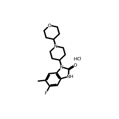 Cc1cc2c(cc1F)[nH]c(=O)n2C1CCN(C2CCOCC2)CC1.Cl